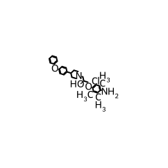 Cc1c(C)c(OC[C@@H](O)CN2CCC(c3ccc(Oc4ccccc4)cc3)CC2)c(Cl)c(C)c1N